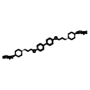 CCCCCCC[C@H]1CC[C@H](CCCOc2ccc(-c3ccc(OCCC[C@H]4CC[C@H](CCCCCCC)CC4)cc3)cc2)CC1